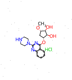 CO[C@H]1C[C@@H](Oc2nc(N3CCNCC3)nc3ccccc23)[C@H](O)[C@@H]1O.Cl